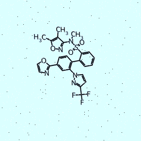 Cc1onc(N(C)S(=O)(=O)c2ccccc2-c2ccc(-c3ncco3)cc2-n2ccc(C(F)(F)F)n2)c1C